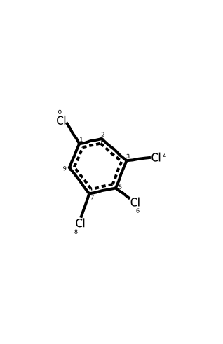 Clc1[c]c(Cl)c(Cl)c(Cl)[c]1